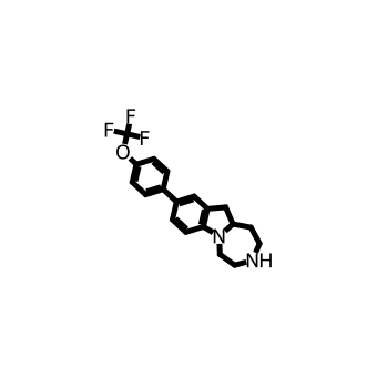 FC(F)(F)Oc1ccc(-c2ccc3c(c2)CC2CCNCCN32)cc1